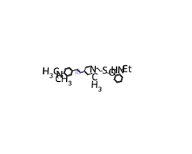 CCNc1ccccc1OCSCCN1C=CC(/C=C/c2ccc(N(C)C)cc2)=CC1C